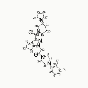 Cc1cccc(N2CCN(C(=O)Cn3nc(C(=O)N4CCCC(N5CCCC5)C4)c4c3CCC4)CC2)c1C